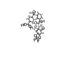 C[C@]1(C(=O)Nc2cccc(C3(c4ccc(C(=O)O)cc4)CO3)c2)COc2cc3c(cc21)OC(F)(F)O3